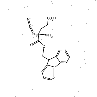 [N-]=[N+]=N[C@](N)(CCC(=O)O)C(=O)OCC1c2ccccc2-c2ccccc21